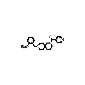 CC(C)COc1ccccc1CN1CCC2(CCCN(C(=O)c3ccncc3)C2)CC1